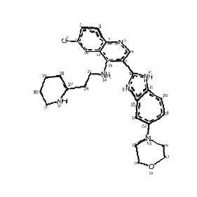 Clc1ccc2ncc(-c3nc4cc(N5CCOCC5)ccc4[nH]3)c(NCCC3CCCCN3)c2c1